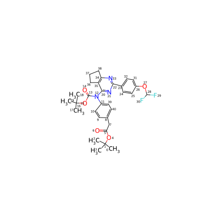 CC(C)(C)OC(=O)Cc1ccc(N(C(=O)OC(C)(C)C)c2nc(-c3ccc(OC(F)F)cc3)nc3c2CCC3)cc1